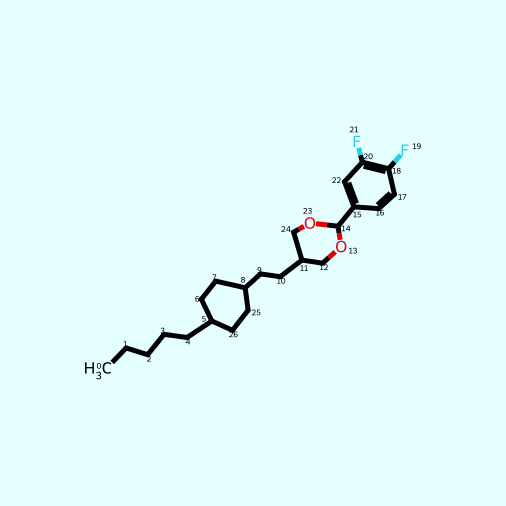 CCCCCC1CCC(CCC2COC(c3ccc(F)c(F)c3)OC2)CC1